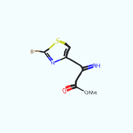 COC(=O)C(=N)c1csc(Br)n1